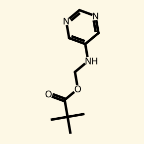 CC(C)(C)C(=O)OCNc1cncnc1